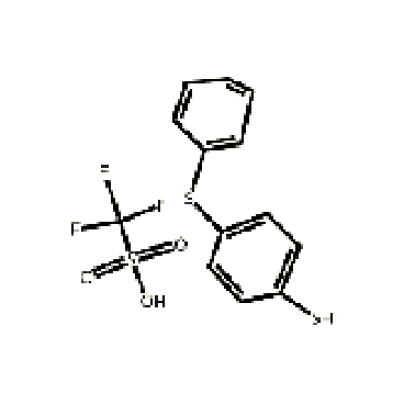 O=S(=O)(O)C(F)(F)F.Sc1ccc(Sc2ccccc2)cc1